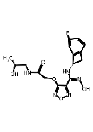 C[C@H](O)CNC(=O)COc1nonc1/C(=N\O)N[C@H]1Cc2ccc(F)cc21